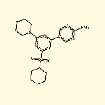 CNc1ncc(-c2cc(N3CCOCC3)cc(S(=O)(=O)C3CCOCC3)c2)cn1